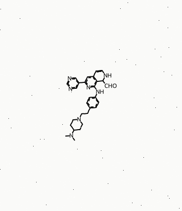 CN(C)C1CCN(CCc2ccc(Nc3nc(-c4cncnc4)cc4c3C(C=O)NC=C4)cc2)CC1